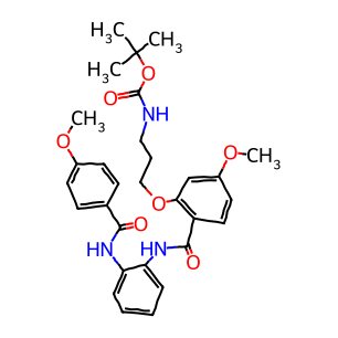 COc1ccc(C(=O)Nc2ccccc2NC(=O)c2ccc(OC)cc2OCCCNC(=O)OC(C)(C)C)cc1